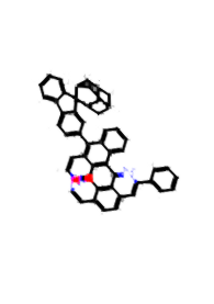 c1ccc(-c2cc3ccc4ccncc4c3c(-c3c4ccccc4c(-c4ccc5c(c4)C4(c6ccccc6-5)C5CC6CC(C5)CC4C6)c4ccccc34)n2)cc1